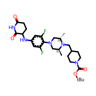 C[C@H]1CN(c2c(F)cc(NC3CCC(=O)NC3=O)cc2F)C[C@H](C)N1CC1CCN(C(=O)OC(C)(C)C)CC1